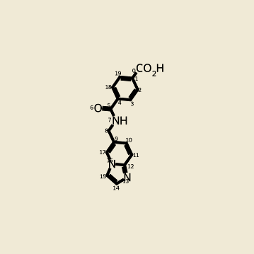 O=C(O)c1ccc(C(=O)NCc2ccc3nccn3c2)cc1